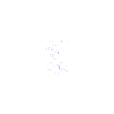 CC(C)n1nc(-c2cnc(NC(=O)OCC(Cl)(Cl)Cl)nc2-c2ccccc2)ccc1=O